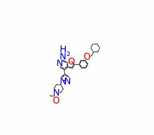 CC(=O)N1CCC(n2cc(-c3cnc(N)c4oc(-c5cccc(OCC6CCCCC6)c5)cc34)cn2)CC1